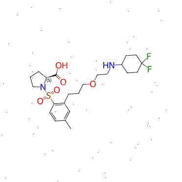 Cc1ccc(S(=O)(=O)N2CCC[C@H]2C(=O)O)c(CCCOCCNC2CCC(F)(F)CC2)c1